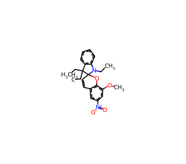 CCN1c2ccccc2C(CC)(CC)C12C=Cc1cc([N+](=O)[O-])cc(OC)c1O2